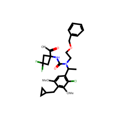 COc1cc(C(C)N(CCOCc2ccccc2)C(=O)NC2(C(=O)N=O)CC(F)(F)C2)c(Cl)c(OC)c1CC1CC1